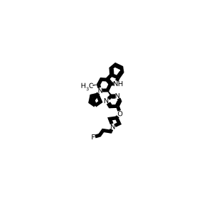 C[C@@H]1Cc2c([nH]c3ccccc23)[C@@H](c2ncc(OC3CN(CCCF)C3)cn2)N1C12CCC(C1)C2